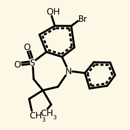 CCC1(CC)CN(c2ccccc2)c2cc(Br)c(O)cc2S(=O)(=O)C1